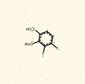 COc1c(C(=O)O)ccc(F)c1F